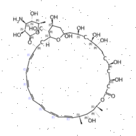 C[C@@H]1[C@H](O)[C@@H](C)/C=C/C=C/C=C/C=C/C=C/C=C/C=C/[C@H](O[C@@H]2O[C@H](C)[C@@H](O)[C@H](N)[C@@H]2O)C[C@@H]2OC(O)(C[C@@H](O)C[C@@H](O)[C@H](O)CC[C@@H](O)C[C@@H](O)CC(=O)O[C@H]1C)C[C@H](O)[C@H]2C(=O)O